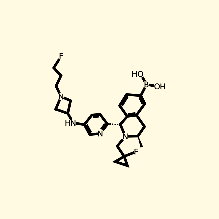 C[C@@H]1Cc2cc(B(O)O)ccc2[C@@H](c2ccc(NC3CN(CCCF)C3)cn2)N1CC1(F)CC1